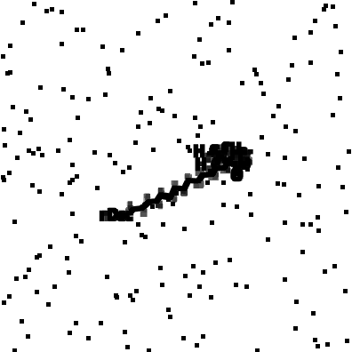 CCCCCCCCCCCCCCC=CCCCCCCCCC(CCC)(P(=O)=O)[N+](C)(C)C